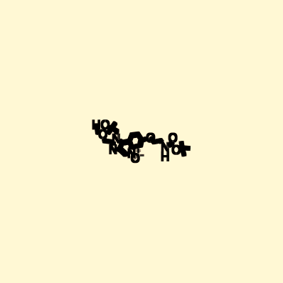 CCOCc1nc2c[n+]([O-])c3cc(OCCNC(=O)OC(C)(C)C)ccc3c2n1CC(C)(C)O